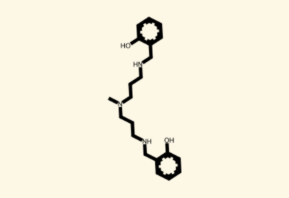 CN(CCCNCc1ccccc1O)CCCNCc1ccccc1O